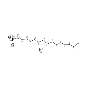 CCCCCCCCCCCCCCO[PH](=O)[O-].[K+]